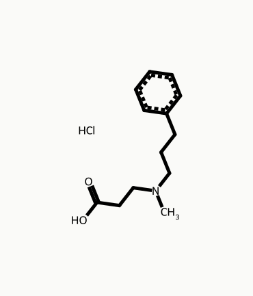 CN(CCCc1ccccc1)CCC(=O)O.Cl